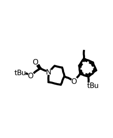 Cc1ccc(C(C)(C)C)c(OC2CCN(C(=O)OC(C)(C)C)CC2)c1